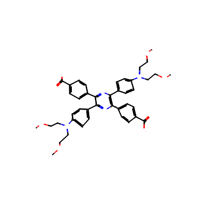 COCCN(CCOC)c1ccc(-c2nc(-c3ccc(C(=O)O)cc3)c(-c3ccc(N(CCOC)CCOC)cc3)nc2-c2ccc(C(=O)O)cc2)cc1